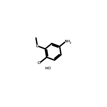 COc1cc(N)ccc1Cl.Cl